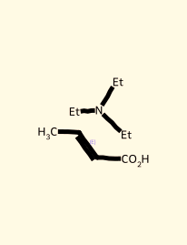 C/C=C/C(=O)O.CCN(CC)CC